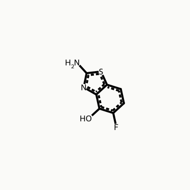 Nc1nc2c(O)c(F)ccc2s1